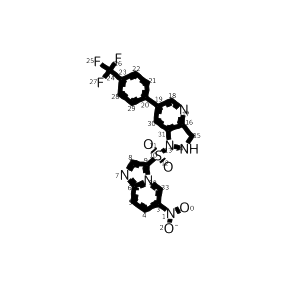 O=[N+]([O-])c1ccc2ncc(S(=O)(=O)N3NCc4ncc(-c5ccc(C(F)(F)F)cc5)cc43)n2c1